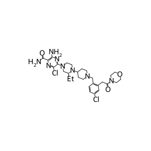 CC[C@H]1CN(c2nc(N)c(C(N)=O)nc2Cl)CCN1C1CCN(Cc2ccc(Cl)cc2CC(=O)N2CCOCC2)CC1